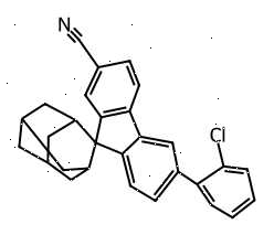 N#Cc1ccc2c(c1)C1(c3ccc(-c4ccccc4Cl)cc3-2)C2CC3CC(C2)CC1C3